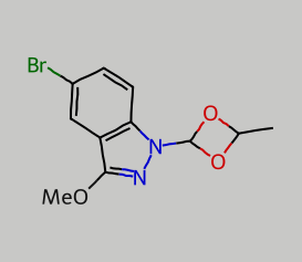 COc1nn(C2OC(C)O2)c2ccc(Br)cc12